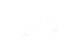 C[CH]CCCCC(C)O